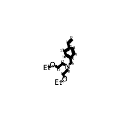 C=Cc1ccc(CN(CCOCC)CCOCC)cc1